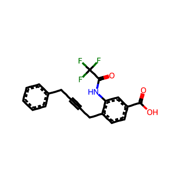 O=C(O)c1ccc(CC#CCc2ccccc2)c(NC(=O)C(F)(F)F)c1